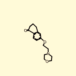 O=C1CCCc2cc(OCCN3CCOCC3)ccc21